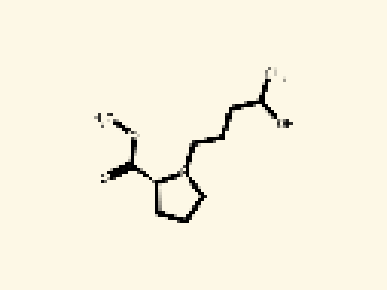 COC(=O)[C@@H]1CCCN1CCCC(C)O